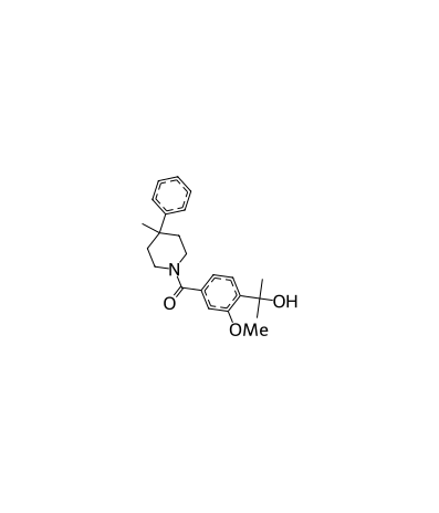 COc1cc(C(=O)N2CCC(C)(c3ccccc3)CC2)ccc1C(C)(C)O